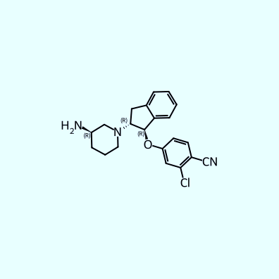 N#Cc1ccc(O[C@@H]2c3ccccc3C[C@H]2N2CCC[C@@H](N)C2)cc1Cl